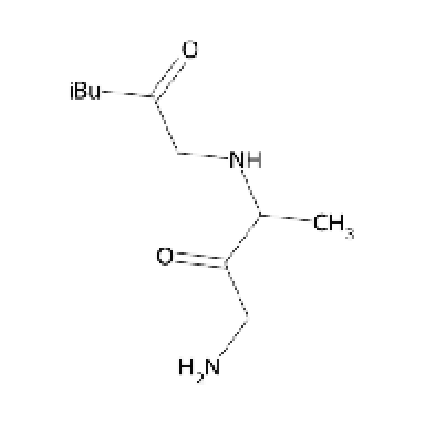 CCC(C)C(=O)CNC(C)C(=O)CN